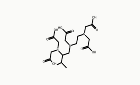 CC(C)C(CN(CCN(CC(=O)O)CC(=O)O)CC(=O)O)N(CC(=O)O)CC(=O)O